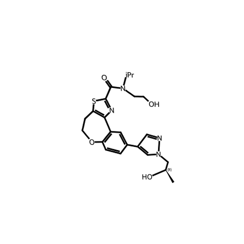 CC(C)N(CCO)C(=O)c1nc2c(s1)CCOc1ccc(-c3cnn(C[C@@H](C)O)c3)cc1-2